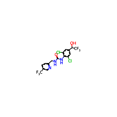 O=C(NCc1ccc(C(F)(F)F)cn1)Nc1c(Cl)cc(C(O)C(F)(F)F)cc1Cl